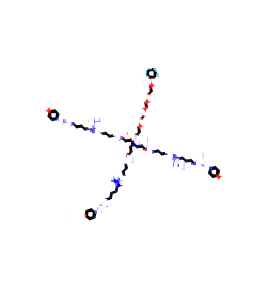 N=N/C(=C\NCCCCNC(=O)CCC(CCC(=O)NCCCCN/C=C(\N)CCCCNC(=S)Nc1ccc(O)cc1)(CCC(=O)NCCCCn1cc(CCCCNC(=S)Nc2ccc(O)cc2)nn1)NC(=O)CCOCCOCCOCCC(=O)Oc1c(F)c(F)c(F)c(F)c1F)CCCCNC(=S)Nc1ccc(O)cc1